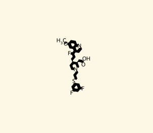 COc1ccc2nccc(C(F)CC[C@@H]3CCN(CCCSc4cc(F)cc(F)c4)C[C@@H]3CC(=O)O)c2c1